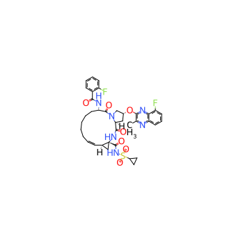 Cc1nc2cccc(F)c2nc1O[C@@H]1C[C@H]2C(=O)N[C@]3(C(=O)NS(=O)(=O)C4CC4)C[C@H]3/C=C\CCCCC[C@H](NC(=O)c3ccccc3F)C(=O)N2C1